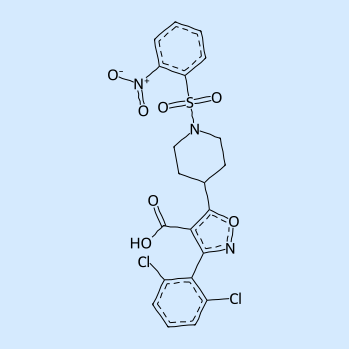 O=C(O)c1c(-c2c(Cl)cccc2Cl)noc1C1CCN(S(=O)(=O)c2ccccc2[N+](=O)[O-])CC1